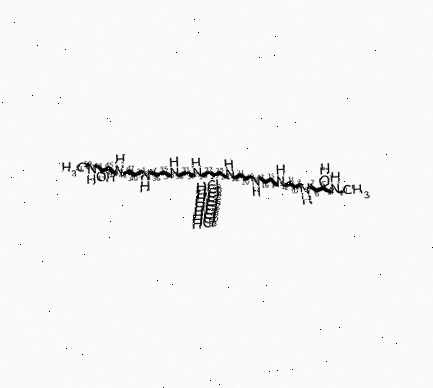 CCNCC(O)CCNCCCCNCCCCNCCCCNCCCCCNCCCNCCCCNCCCCNCCC(O)CNCC.Cl.Cl.Cl.Cl.Cl.Cl.Cl.Cl.Cl.Cl